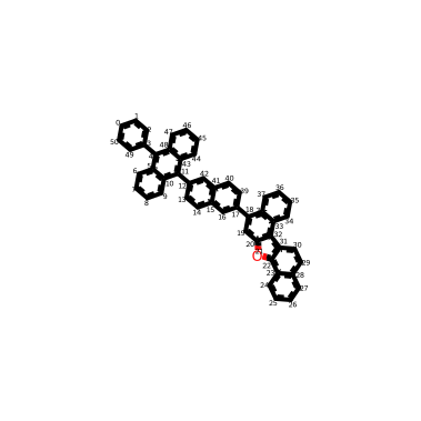 c1ccc(-c2c3ccccc3c(-c3ccc4cc(-c5cc6oc7c8ccccc8ccc7c6c6ccccc56)ccc4c3)c3ccccc23)cc1